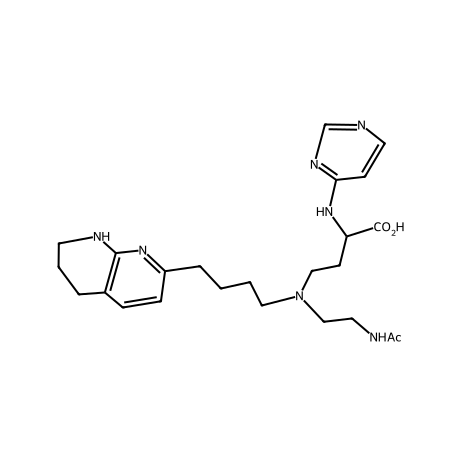 CC(=O)NCCN(CCCCc1ccc2c(n1)NCCC2)CCC(Nc1ccncn1)C(=O)O